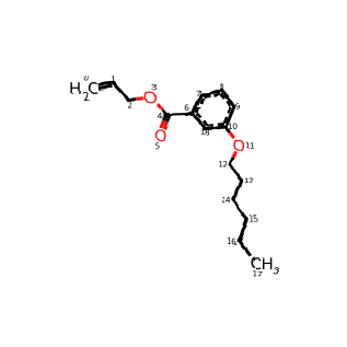 C=CCOC(=O)c1cccc(OCCCCCC)c1